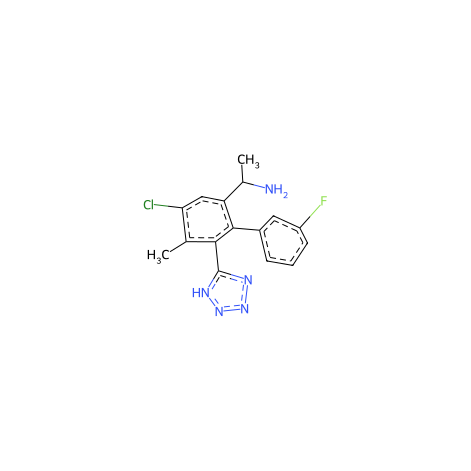 Cc1c(Cl)cc(C(C)N)c(-c2cccc(F)c2)c1-c1nnn[nH]1